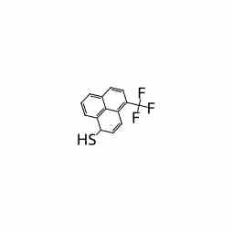 FC(F)(F)c1ccc2cccc3c2c1C=CC3S